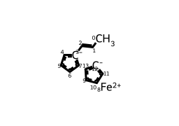 CC=C[c-]1cccc1.[Fe+2].c1cc[cH-]c1